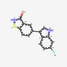 O=c1[nH]sc2ccc(-c3c[nH]c4cc(F)ccc34)cc12